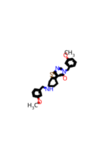 COc1cccc(CNC2CCc3c(sc4ncn(Cc5cccc(OC)c5)c(=O)c34)C2)c1